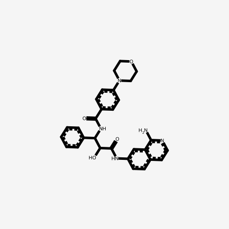 Nc1nccc2ccc(NC(=O)C(O)C(NC(=O)c3ccc(N4CCOCC4)cc3)c3ccccc3)cc12